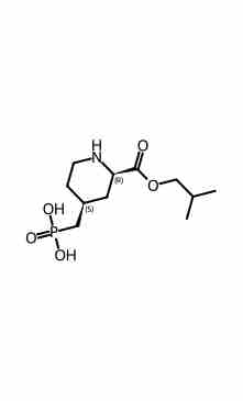 CC(C)COC(=O)[C@H]1C[C@@H](CP(=O)(O)O)CCN1